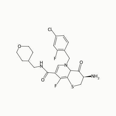 N[C@H]1CSC2=C(F)C(C(=O)NCC3CCOCC3)=CN(Cc3ccc(Cl)cc3F)C2C1=O